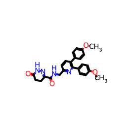 COc1ccc(-c2ccc(CNC(=O)C3=NNC(=O)CC3)nc2-c2ccc(OC)cc2)cc1